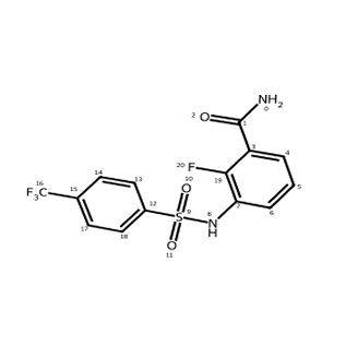 NC(=O)c1cccc(NS(=O)(=O)c2ccc(C(F)(F)F)cc2)c1F